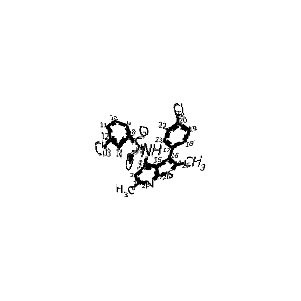 Cc1cc(NS(=O)(=O)c2cccc(Cl)c2)c2c(-c3ccc(Cl)cc3)c(C)sc2n1